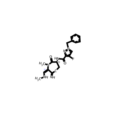 CN/C=C1\C(=N)CC[C@H](NC(=O)c2nn(Cc3ccccc3)cc2F)C(=O)N1C